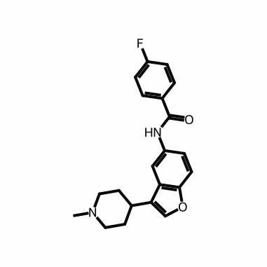 CN1CCC(c2coc3ccc(NC(=O)c4ccc(F)cc4)cc23)CC1